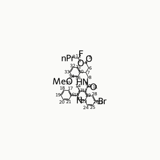 CCCC(F)OC(=O)CC(CNC(=O)c1c(C)c(-c2ccccc2)nc2ccc(Br)cc12)c1cccc(OC)c1